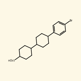 CCCCCCCCC1CCC(C2CCC(c3ccc(Br)cc3)CC2)CC1